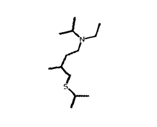 CCN(CCC(C)CSC(C)C)C(C)C